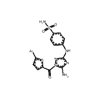 CC(=O)c1ccc(C(=O)n2nc(Nc3ccc(S(N)(=O)=O)cc3)nc2N)s1